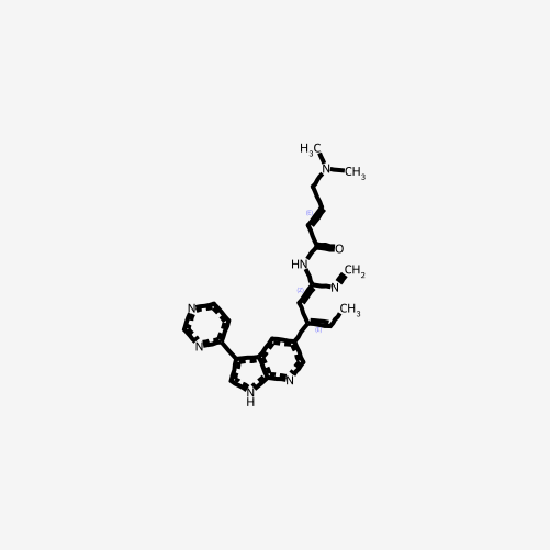 C=N/C(=C\C(=C/C)c1cnc2[nH]cc(-c3ccncn3)c2c1)NC(=O)/C=C/CN(C)C